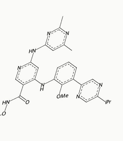 CCONC(=O)c1cnc(Nc2cc(C)nc(C)n2)cc1Nc1cccc(-c2cnc(C(C)C)cn2)c1OC